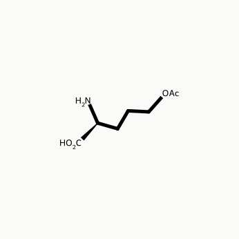 CC(=O)OCCC[C@H](N)C(=O)O